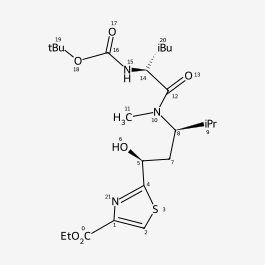 CCOC(=O)c1csc([C@@H](O)C[C@H](C(C)C)N(C)C(=O)[C@@H](NC(=O)OC(C)(C)C)[C@@H](C)CC)n1